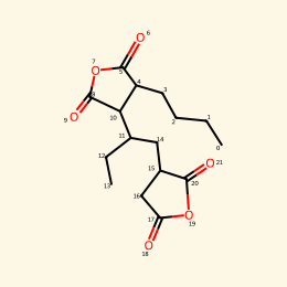 CCCCC1C(=O)OC(=O)C1C(CC)CC1CC(=O)OC1=O